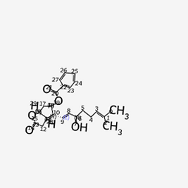 CC(C)=CCC[C@@H](O)/C=C/[C@@H]1[C@H]2CC(=O)O[C@H]2C[C@H]1OC(=O)c1ccccc1